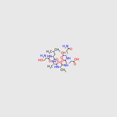 CC(C)C[C@H](NC(=O)[C@@H](N)CO)C(=O)N[C@@H](C)C(=O)N[C@@H](C)C(=O)N[C@@H](CCC(=O)O)C(=O)N[C@@H](CCC(N)=O)C(=O)O